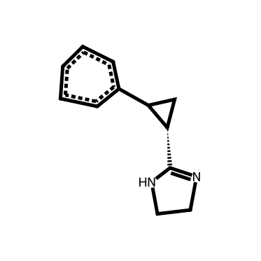 c1ccc(C2C[C@@H]2C2=NCCN2)cc1